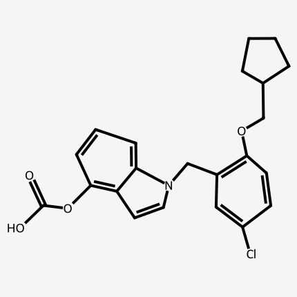 O=C(O)Oc1cccc2c1ccn2Cc1cc(Cl)ccc1OCC1CCCC1